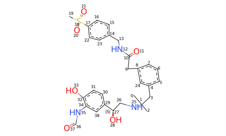 CC(C)(Cc1cccc(CC(=O)NCc2ccc(S(C)(=O)=O)cc2)c1)NC[C@@H](O)c1ccc(O)c(NC=O)c1